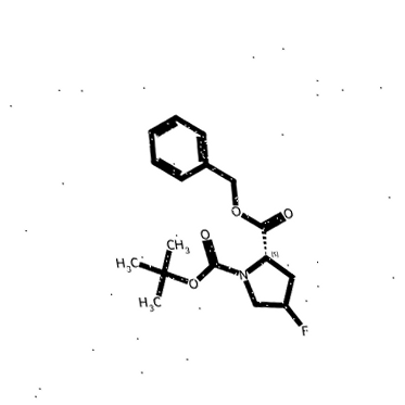 CC(C)(C)OC(=O)N1CC(F)C[C@H]1C(=O)OCc1ccccc1